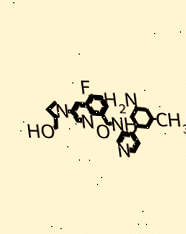 C[C@@H]1C[C@H](N)C[C@H](c2ccncc2NC(=O)c2ccc(F)c3cc(N4CCC4CO)cnc23)C1